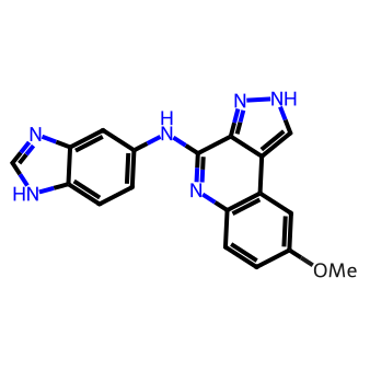 COc1ccc2nc(Nc3ccc4[nH]cnc4c3)c3n[nH]cc3c2c1